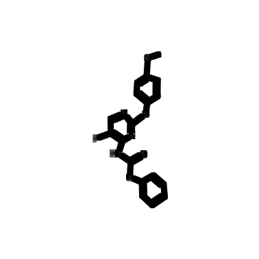 COc1ccc(Oc2ncc(F)c(NC(=O)Oc3ccccc3)n2)cc1